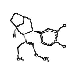 CCC(=NOC)[C@@H]1[C@H]2CCC(C2)C[C@H]1c1ccc(Cl)c(Cl)c1